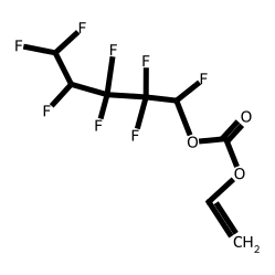 C=COC(=O)OC(F)C(F)(F)C(F)(F)C(F)C(F)F